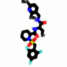 COc1ccc(CNC(=O)C(CC(C)C)NC(=O)C2CCCCN2S(=O)(=O)Cc2c(F)cc(F)cc2F)c(OC)n1